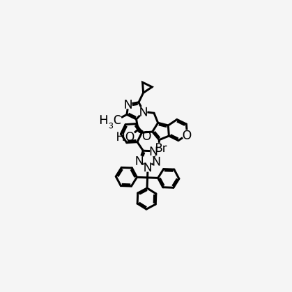 Cc1nc(C2CC2)n(Cc2c3ccocc-3c(Br)c2-c2ccccc2-c2nnn(C(c3ccccc3)(c3ccccc3)c3ccccc3)n2)c1C(=O)O